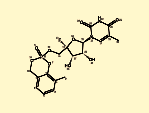 Cc1cccc2c1OP(=O)(OC[C@@]1(F)O[C@@H](n3cc(C)c(=O)[nH]c3=O)[C@H](O)[C@@H]1O)OC2